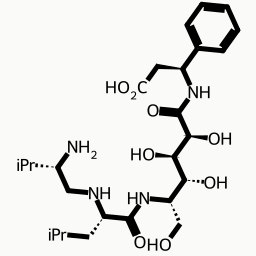 CC(C)C[C@H](NC[C@@H](N)C(C)C)C(=O)N[C@@H](CO)[C@@H](O)[C@@H](O)[C@H](O)C(=O)N[C@@H](CC(=O)O)c1ccccc1